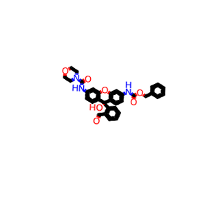 O=Cc1ccccc1C1(O)c2ccc(NC(=O)OCc3ccccc3)cc2Oc2cc(NC(=O)N3CCOCC3)ccc21